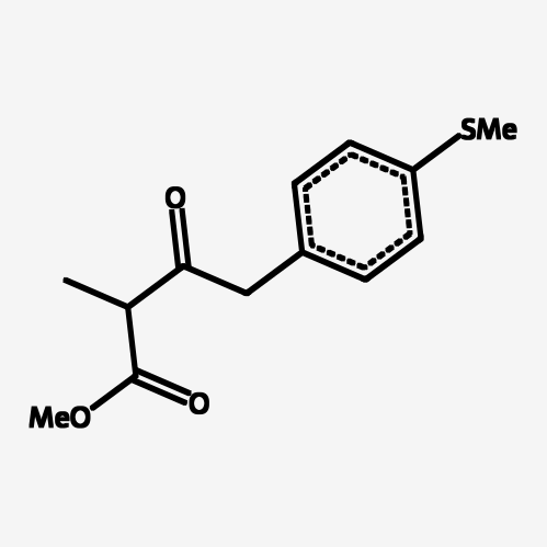 COC(=O)C(C)C(=O)Cc1ccc(SC)cc1